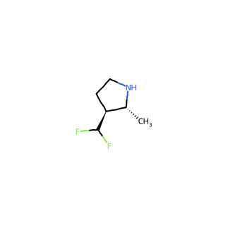 C[C@H]1NCC[C@@H]1C(F)F